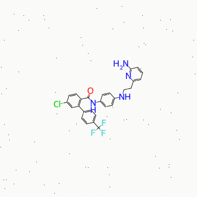 Nc1cccc(CCNc2ccc(NC(=O)c3ccc(Cl)cc3-c3ccc(C(F)(F)F)cc3)cc2)n1